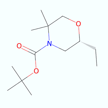 CC[C@@H]1CN(C(=O)OC(C)(C)C)C(C)(C)CO1